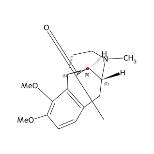 COc1ccc2c(c1OC)[C@]13CCN(C)[C@H](C2)[C@@H]1CCC(=O)C3